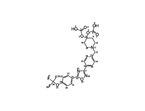 O=C(O)OC1(OC(=O)O)CCN(Cc2ccc(-c3noc(-c4ccc(OC(F)(F)F)cc4)n3)cc2)CC1